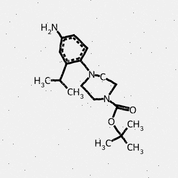 CC(C)c1cc(N)ccc1N1CCN(C(=O)OC(C)(C)C)CC1